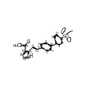 CS(=O)(=O)c1ccc(-c2ccc(/C=C/c3[nH]nnc3C(=O)O)cc2)cc1